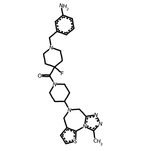 Cc1nnc2n1-c1sccc1CN(C1CCN(C(=O)C3(F)CCN(Cc4cccc(N)c4)CC3)CC1)C2